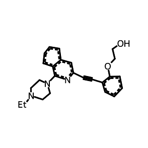 CCN1CCN(c2nc(C#Cc3ccccc3OCCO)cc3ccccc23)CC1